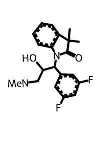 CNCC(O)C(c1cc(F)cc(F)c1)N1C(=O)C(C)(C)c2ccccc21